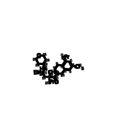 CCCc1cc(C(F)(F)F)cc2c1CCN(C(=O)[C@@](C)(C[C@@H](CC)NC1CCOCC1)C(C)C)C2